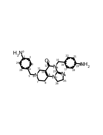 Nc1ccc(CN2CCC3=C(C2)C(=O)N(Cc2ccc(N)cc2)C2=NCCN23)cc1